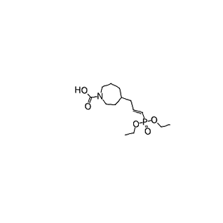 CCOP(=O)(/C=C/CC1CCCN(C(=O)O)CC1)OCC